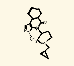 Cn1ncc2c3c(c(=O)n(C4CCN(CC5CC5)CC4)c21)CCCC3